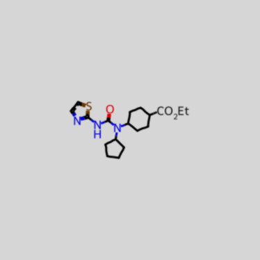 CCOC(=O)C1CCC(N(C(=O)Nc2nccs2)C2CCCC2)CC1